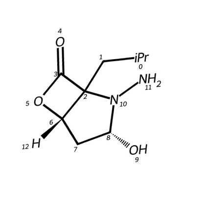 CC(C)CC12C(=O)O[C@H]1C[C@@H](O)N2N